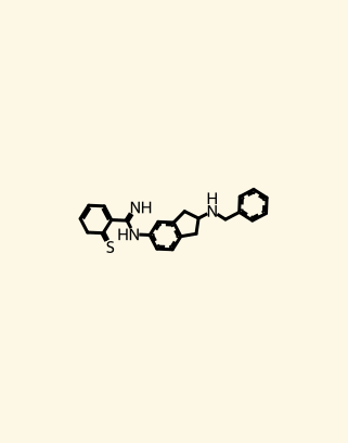 N=C(Nc1ccc2c(c1)CC(NCc1ccccc1)C2)C1=CC=CCC1=S